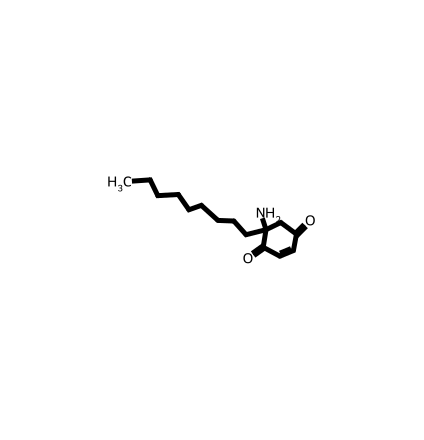 CCCCCCCCCC1(N)CC(=O)C=CC1=O